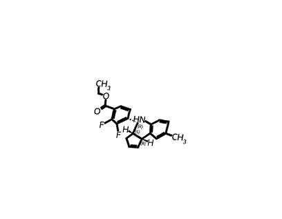 CCOC(=O)c1ccc([C@@H]2Nc3ccc(C)cc3[C@@H]3C=CC[C@@H]32)c(F)c1F